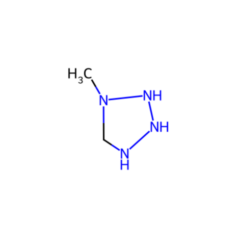 CN1CNNN1